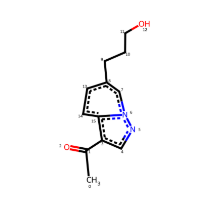 CC(=O)c1cnn2cc(CCCO)ccc12